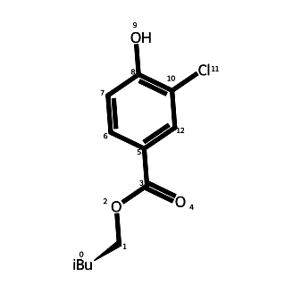 CC[C@H](C)COC(=O)c1ccc(O)c(Cl)c1